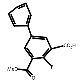 COC(=O)c1cc(-c2ccccc2)cc(C(=O)O)c1F